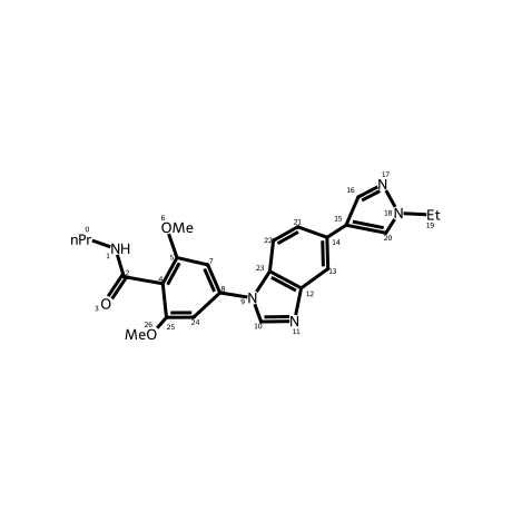 CCCNC(=O)c1c(OC)cc(-n2cnc3cc(-c4cnn(CC)c4)ccc32)cc1OC